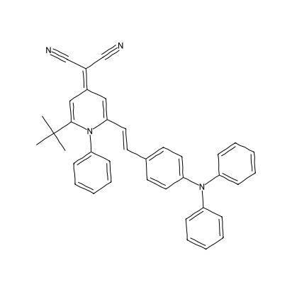 CC(C)(C)C1=CC(=C(C#N)C#N)C=C(/C=C/c2ccc(N(c3ccccc3)c3ccccc3)cc2)N1c1ccccc1